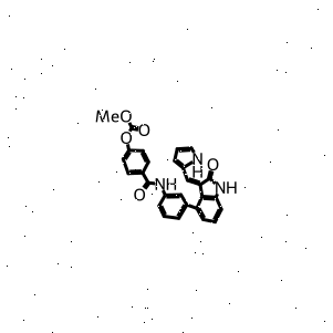 COC(=O)Oc1ccc(C(=O)Nc2cccc(-c3cccc4c3C(=Cc3ccc[nH]3)C(=O)N4)c2)cc1